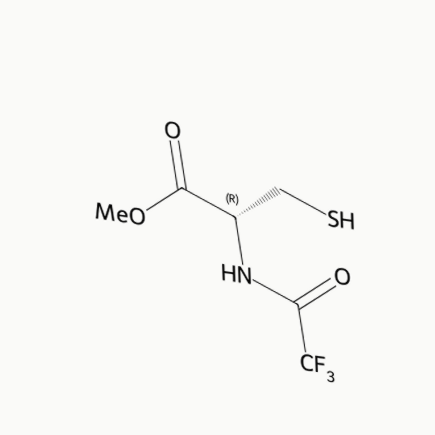 COC(=O)[C@H](CS)NC(=O)C(F)(F)F